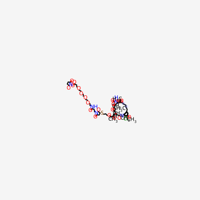 COc1cc2cc(c1Cl)N(C)C(=O)C[C@H](CC(=O)[C@H](C)OCCCSC1CC(=O)N(CCC(=O)NCCOCCOCCOCCOCCC(=O)ON3C(=O)CCC3=O)C1=O)[C@@]1(C)CC(C)(O1)C1C[C@@](O)(NC(=O)O1)[C@H](OC)/C=C/C=C(\C)C2